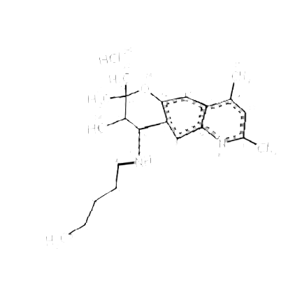 CCCCCNC1c2cc3nc(Cl)cc(C)c3cc2OC(C)(C)C1O.Cl